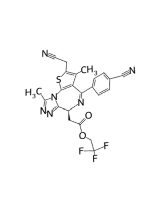 Cc1c(CC#N)sc2c1C(c1ccc(C#N)cc1)=N[C@@H](CC(=O)OCC(F)(F)F)c1nnc(C)n1-2